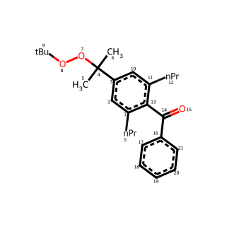 CCCc1cc(C(C)(C)OOC(C)(C)C)cc(CCC)c1C(=O)c1ccccc1